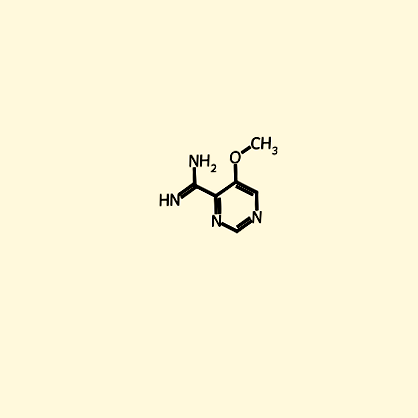 COc1cncnc1C(=N)N